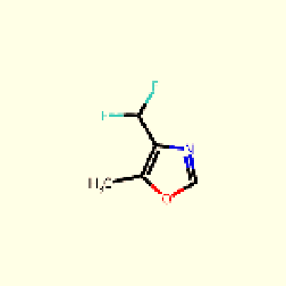 Cc1ocnc1C(F)F